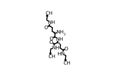 C#CCNC(=O)CC[C@@H](N)C(=O)N[C@@H](CCC(=O)NCC#C)C(=O)NCC#C